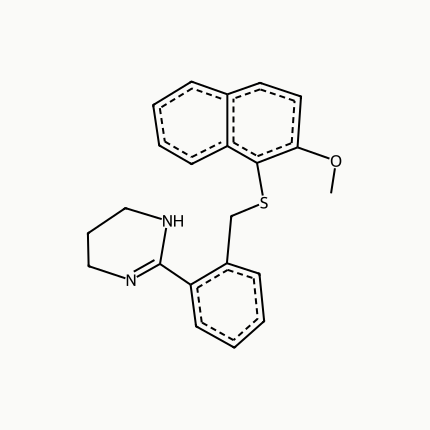 COc1ccc2ccccc2c1SCc1ccccc1C1=NCCCN1